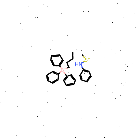 CCCC[B-](c1ccccc1)(c1ccccc1)c1ccccc1.C[S+](C)Nc1ccccc1